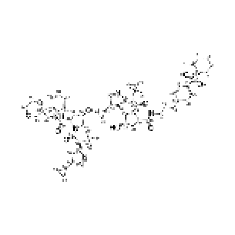 CC1CCCCN1S(=O)(=O)c1ccc(CCCNC(=O)[C@@H]2C[C@@H](O)CN2C(=O)[C@@H](n2cc(C3CC3O[C@@H]3C[C@@H](C(=O)NCC4(c5ccccc5)COCCO4)N(C(=O)[C@@H](n4cc(C5CC5)nn4)C(C)(C)C)C3)nn2)C(C)(C)C)cc1